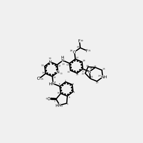 O=C1NCc2cccc(Nc3nc(Nc4ccc(N5C6CCC5CNC6)cc4OC(F)F)ncc3Cl)c21